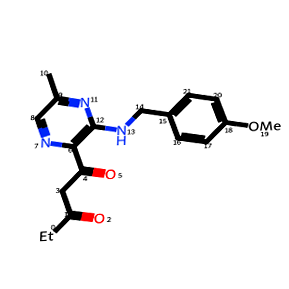 CCC(=O)CC(=O)c1ncc(C)nc1NCc1ccc(OC)cc1